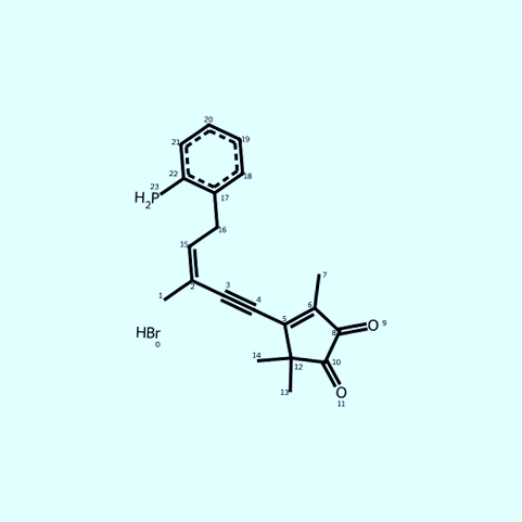 Br.CC(C#CC1=C(C)C(=O)C(=O)C1(C)C)=CCc1ccccc1P